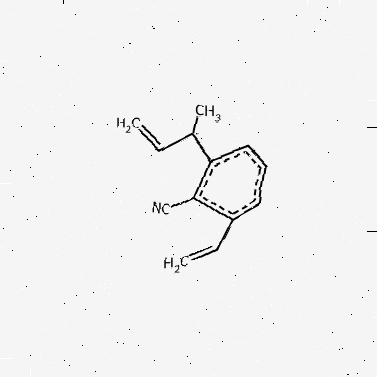 C=C[C](C)c1cccc(C=C)c1C#N